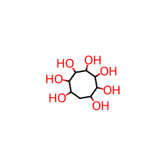 OC1CC(O)C(O)C(O)C(O)C(O)C1O